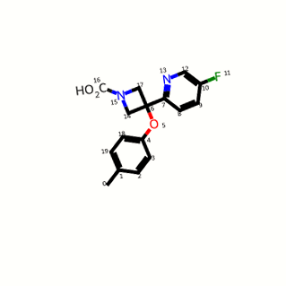 Cc1ccc(OC2(c3ccc(F)cn3)CN(C(=O)O)C2)cc1